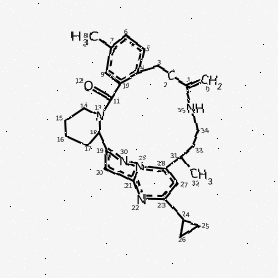 C=C1CCc2ccc(C)cc2C(=O)N2CCCCC2c2cc3nc(C4CC4)cc(n3n2)C(C)CCN1